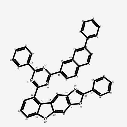 c1ccc(-c2ccc3ccc(-c4nc(-c5ccccc5)nc(-c5cccc6oc7cc8oc(-c9ccccc9)nc8cc7c56)n4)cc3c2)cc1